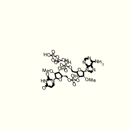 CO[C@@H]1[C@H](O)[C@@H](COP(=O)(O)O[C@@H]2C(COP(=O)(O)OP(=O)(O)OP(=O)(O)O)O[C@@H](n3cnc4c(N)ncnc43)[C@@H]2OC)O[C@H]1n1ccc(=O)[nH]c1=O